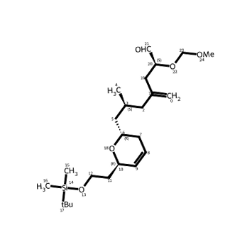 C=C(C[C@H](C)C[C@@H]1CC=C[C@@H](CCO[Si](C)(C)C(C)(C)C)O1)C[C@@H](C=O)OCOC